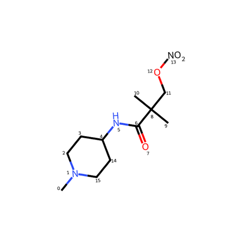 CN1CCC(NC(=O)C(C)(C)CO[N+](=O)[O-])CC1